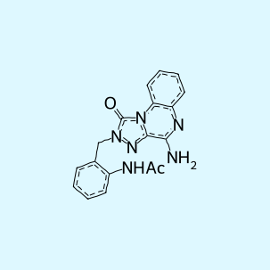 CC(=O)Nc1ccccc1Cn1nc2c(N)nc3ccccc3n2c1=O